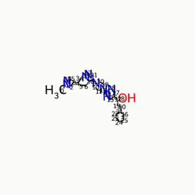 Cn1cc(-c2ccc3c(N4CCN(c5ncc(C(O)CCc6ccccc6)cn5)CC4)cnn3c2)cn1